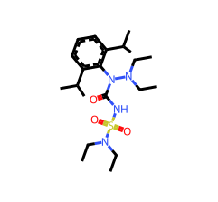 CCN(CC)N(C(=O)NS(=O)(=O)N(CC)CC)c1c(C(C)C)cccc1C(C)C